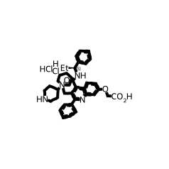 CC[C@H](NC(=O)c1c(C[N+]2(C3CCNCC3)CCCCC2)c(-c2ccccc2)nc2cc(OCC(=O)O)ccc12)c1ccccc1.Cl.Cl